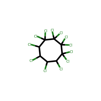 ClC1C(Cl)C(Cl)C(Cl)(Cl)C(Cl)(Cl)C(Cl)(Cl)C(Cl)(Cl)C1Cl